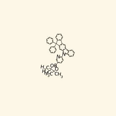 CC1(C)OB(c2ccc(-n3c4ccccc4c4cc5c(cc43)C(c3ccccc3)(c3ccccc3)c3ccccc3-5)nc2)OC1(C)C